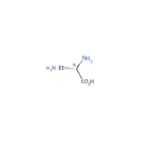 CC[C@H](N)C(=O)O.N